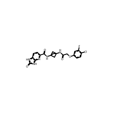 O=C(COc1ccc(Cl)c(F)c1)NC12CC(NC(=O)c3ccc4[nH]c(=O)[nH]c4n3)(C1)C2